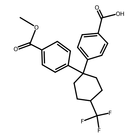 COC(=O)c1ccc(C2(c3ccc(C(=O)O)cc3)CCC(C(F)(F)F)CC2)cc1